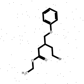 CCOC(=O)CC(CCBr)COc1ccccc1